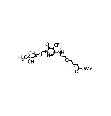 COC(=O)/C=C/COCCNc1cnn(COCC[Si](C)(C)C)c(=O)c1C(F)(F)F